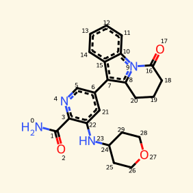 NC(=O)c1ncc(-c2c3n(c4ccccc24)C(=O)CCC3)cc1NC1CCOCC1